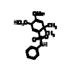 COC1=CC(C)(C)C(S(=O)(=O)Nc2ccccc2)=CC1C(=O)O